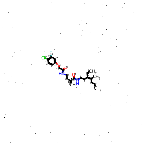 C=CC/C(C)=C(/C=C)CCNC(=O)C(=C)CCNC(=O)COc1ccc(Cl)c(F)c1